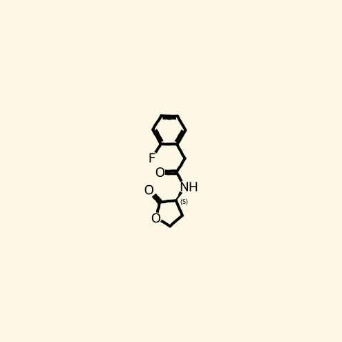 O=C(Cc1ccccc1F)N[C@H]1CCOC1=O